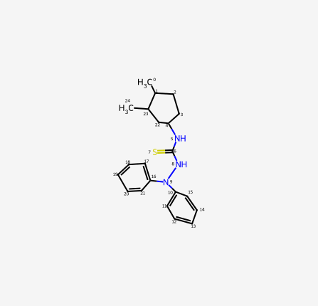 CC1CCC(NC(=S)NN(c2ccccc2)c2ccccc2)CC1C